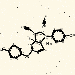 N#C[C@@H]1[C@@H]2N=C(Sc3ccc(Cl)cc3)C=C[C@@H]2N(c2ccc(Cl)cc2)[C@H]1C#N